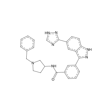 O=C(NC1CCN(Cc2ccccc2)C1)c1cccc(-c2n[nH]c3ccc(-c4nc[nH]n4)cc23)c1